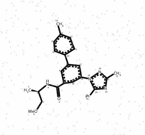 COC[C@@H](C)NC(=O)c1cc(-c2ccc(C)cc2)cc(-n2nc(C)nc2C(C)C)c1